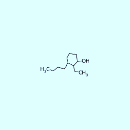 CCCCC1CCCC(O)C1CC